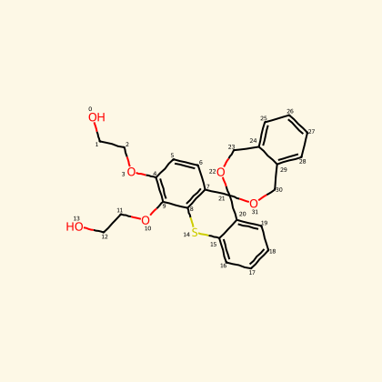 OCCOc1ccc2c(c1OCCO)Sc1ccccc1C21OCc2ccccc2CO1